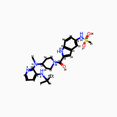 CCC(C)(C)Nc1cccnc1N(C)C1CCN(C(=O)c2cc3cc(NS(C)(=O)=O)ccc3[nH]2)CC1